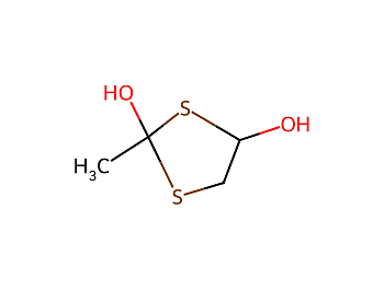 CC1(O)SCC(O)S1